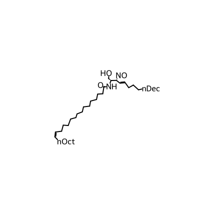 CCCCCCCC/C=C\CCCCCCCCCCCCCC(=O)N[C@@H](CO)[C@@H](/C=C/CCCCCCCCCCCCC)N=O